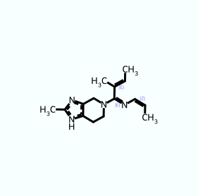 C\C=C/N=C(\C(C)=C\C)N1CCc2[nH]c(C)nc2C1